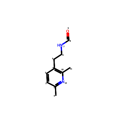 Cc1ccc(CCNC=O)c(C)n1